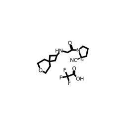 N#C[C@@H]1CCCN1C(=O)CNC1CC2(CCOCC2)C1.O=C(O)C(F)(F)F